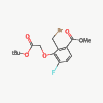 COC(=O)c1ccc(F)c(OCC(=O)OC(C)(C)C)c1CBr